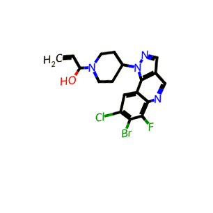 C=CC(O)N1CCC(n2ncc3cnc4c(F)c(Br)c(Cl)cc4c32)CC1